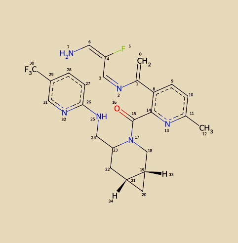 C=C(/N=C\C(F)=C/N)c1ccc(C)nc1C(=O)N1C[C@@H]2C[C@@H]2CC1CNc1ccc(C(F)(F)F)cn1